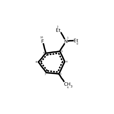 CCN(CC)c1cc(C)ccc1F